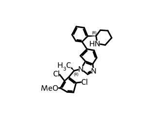 COc1ccc(Cl)c([C@@H](C)n2cnc3ccc(-c4ccccc4[C@H]4CCCCN4)cc32)c1Cl